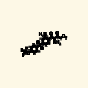 COCC(=O)N(N)C(=O)c1ncc(S(=O)(=O)c2ccc(OC(F)(F)F)cc2)cc1N